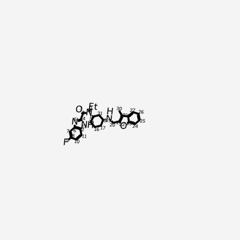 CCN(C(=O)c1nc2cc(F)ccc2[nH]1)[C@H]1CCC[C@@H](NCc2oc3ccccc3c2C)C1